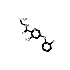 O=C(O)CNC(=O)c1ncc(Oc2ccccc2Cl)cc1O